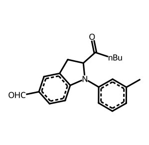 CCCCC(=O)C1Cc2cc(C=O)ccc2N1c1cccc(C)c1